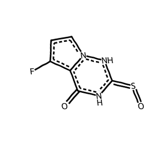 O=S=c1[nH]c(=O)c2c(F)ccn2[nH]1